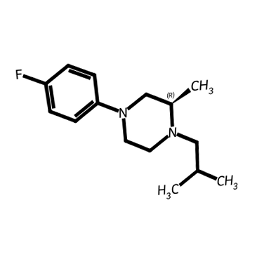 CC(C)CN1CCN(c2ccc(F)cc2)C[C@H]1C